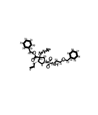 C=CC[C@H]1CN(S(=O)(=O)NCCOCc2ccccc2)C[C@@]1(N=[N+]=[N-])C(=O)OCc1ccccc1